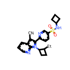 CCC1CCC1n1c(-c2ccc(S(=O)(=O)NC3CCC3)cn2)c(C#N)c2cccnc21